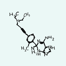 CCN(CC)CC#Cc1ccc(C2(N)N=C(N)c3[nH]cnc3N2)c(C)c1